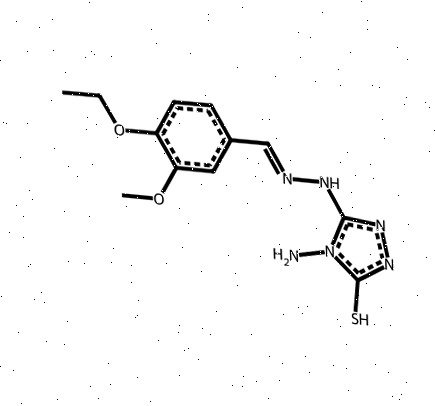 CCOc1ccc(C=NNc2nnc(S)n2N)cc1OC